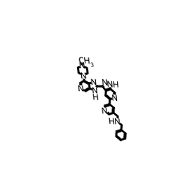 CN1CCN(c2cncc3[nH]c(-c4n[nH]c5cnc(-c6cncc(CNCc7ccccc7)c6)cc45)nc23)CC1